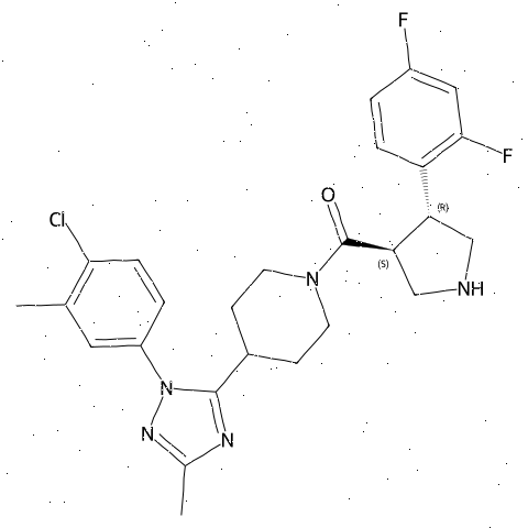 Cc1nc(C2CCN(C(=O)[C@@H]3CNC[C@H]3c3ccc(F)cc3F)CC2)n(-c2ccc(Cl)c(C)c2)n1